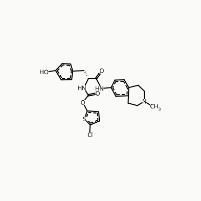 CN1CCc2ccc(NC(=O)[C@@H](Cc3ccc(O)cc3)NC(=O)Oc3ccc(Cl)s3)cc2CC1